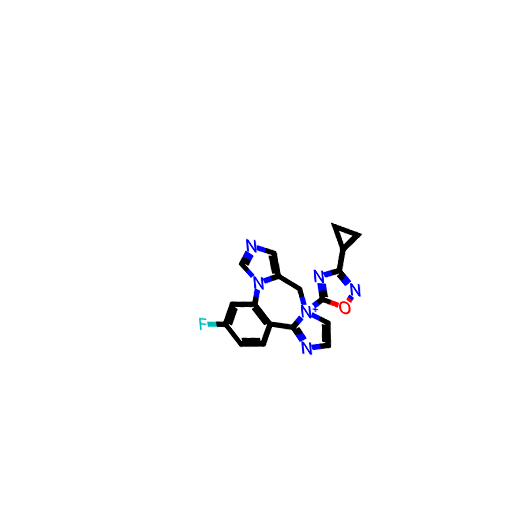 Fc1ccc2c(c1)-n1cncc1C[N+]1(c3nc(C4CC4)no3)C=CN=C21